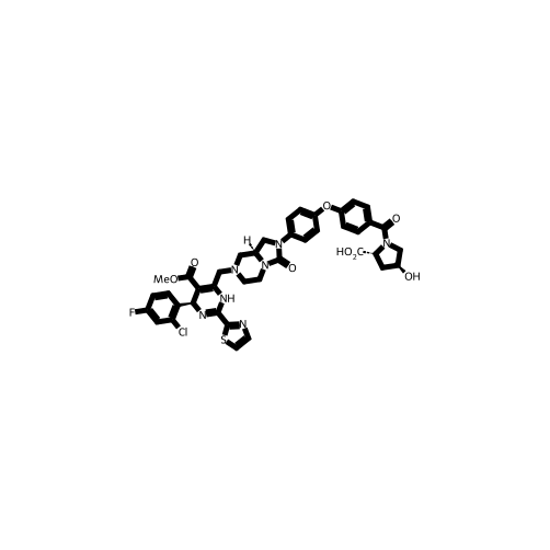 COC(=O)C1=C(CN2CCN3C(=O)N(c4ccc(Oc5ccc(C(=O)N6C[C@@H](O)C[C@@H]6C(=O)O)cc5)cc4)C[C@@H]3C2)NC(c2nccs2)=N[C@H]1c1ccc(F)cc1Cl